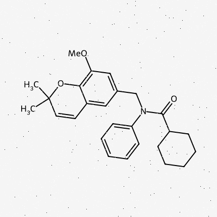 COc1cc(CN(C(=O)C2CCCCC2)c2ccccc2)cc2c1OC(C)(C)C=C2